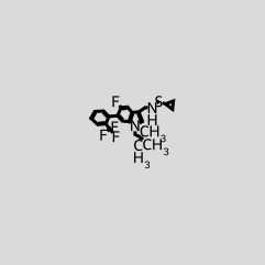 CC(C)(C)Cn1cc(CNSC2CC2)c2cc(F)c(-c3ccccc3C(F)(F)F)cc21